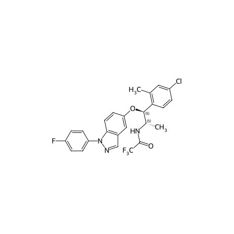 Cc1cc(Cl)ccc1[C@H](Oc1ccc2c(cnn2-c2ccc(F)cc2)c1)[C@H](C)NC(=O)C(F)(F)F